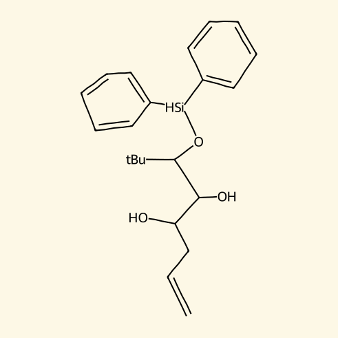 C=CCC(O)C(O)C(O[SiH](c1ccccc1)c1ccccc1)C(C)(C)C